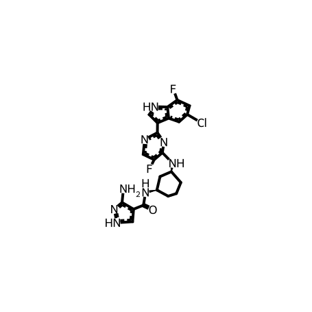 Nc1n[nH]cc1C(=O)N[C@@H]1CCC[C@H](Nc2nc(-c3c[nH]c4c(F)cc(Cl)cc34)ncc2F)C1